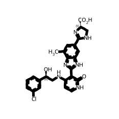 Cc1cc(C2=N[C@H](C(=O)O)CN2)cc2[nH]c(-c3c(NC[C@H](O)c4cccc(Cl)c4)cc[nH]c3=O)nc12